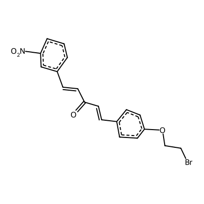 O=C(C=Cc1ccc(OCCBr)cc1)C=Cc1cccc([N+](=O)[O-])c1